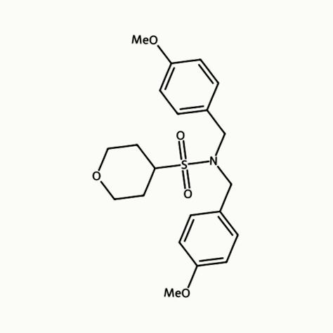 COc1ccc(CN(Cc2ccc(OC)cc2)S(=O)(=O)C2CCOCC2)cc1